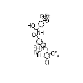 [2H]C([2H])(F)Cn1c(Cc2ccc(Cl)cc2C(F)(F)F)cc2cc(C(=O)N[C@@H](CO)c3ccc(S(=O)(=O)CC)cc3)ccc21